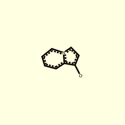 [O]c1ccn2ccccc12